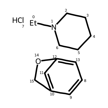 CCN1CCCCC1.Cl.c1cc2cc(c1)OC2